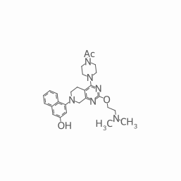 CC(=O)N1CCN(c2nc(OCCN(C)C)nc3c2CCN(c2cc(O)cc4ccccc24)C3)CC1